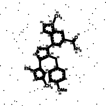 CCn1nc(C)cc1-c1nnc(-c2cc(C(N)=O)cc3c2cnn3C)n1Cc1ccc(OC)cc1